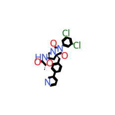 C[C@H]1O[C@]2(CN3C(=O)N(c4cc(Cl)cc(Cl)c4)C(=O)[C@]3(Cc3ccc(-c4cccnc4)cc3)C2)NC1=O